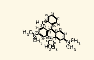 CC[Si]1(CC)C2=CC(=[N+](C)C)C=CC2=C(c2ccccc2C)c2ccc(N(C)C)cc21